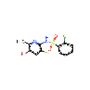 Cc1nc(NS(=O)(=O)c2ccccc2Cl)c(F)cc1Br